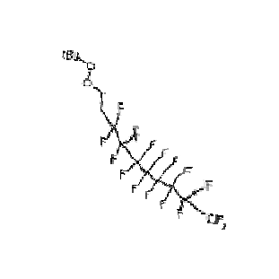 CC(C)(C)OO[CH]CC(F)(F)C(F)(F)C(F)(F)C(F)(F)C(F)(F)C(F)(F)C(F)(F)C(F)(F)F